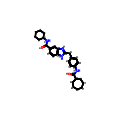 O=C(NC1CCCCC1)c1ccc2[nH]c(Cc3ccc(NC(=O)C4CCCCCC4)cc3)nc2c1